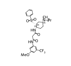 COc1cc(NC(=O)CC(=O)N[C@H]2CC[C@@H](N(C)C(C)C)C[C@H]2CS(=O)(=O)c2ccccc2)cc(C(F)(F)F)c1